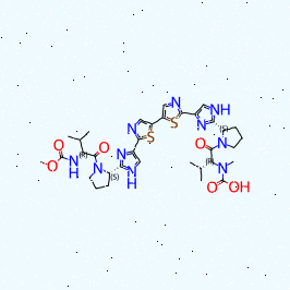 COC(=O)N[C@@H](C(=O)N1CCC[C@H]1c1nc(-c2ncc(-c3cnc(-c4c[nH]c([C@@H]5CCCN5C(=O)[C@@H](C(C)C)N(C)C(=O)O)n4)s3)s2)c[nH]1)C(C)C